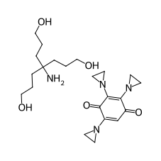 NC(CCCO)(CCCO)CCCO.O=C1C=C(N2CC2)C(=O)C(N2CC2)=C1N1CC1